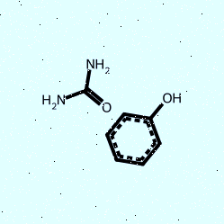 NC(N)=O.Oc1ccccc1